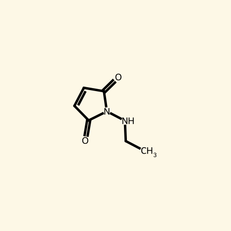 CCNN1C(=O)C=CC1=O